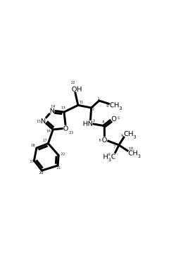 CCC(NC(=O)OC(C)(C)C)C(O)c1nnc(-c2ccccc2)o1